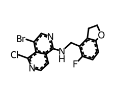 Fc1ccc2c(c1CNc1ncc(Br)c3c(Cl)nccc13)CCO2